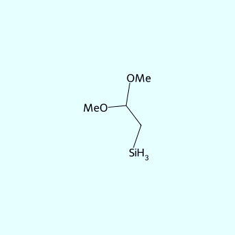 COC(C[SiH3])OC